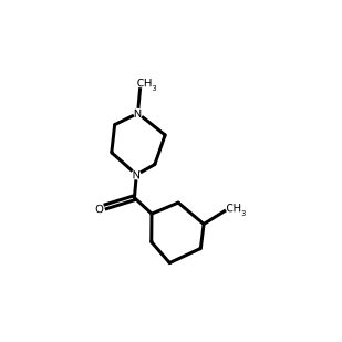 CC1CCCC(C(=O)N2CCN(C)CC2)C1